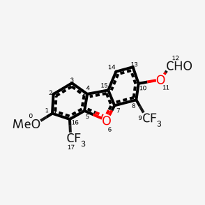 COc1ccc2c(oc3c(C(F)(F)F)c(OC=O)ccc32)c1C(F)(F)F